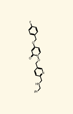 CC(C)CNCc1ccc(COn2ccc(OCc3ccc(F)cc3)cc2=O)cn1